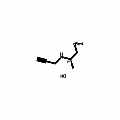 C#CCN[C@H](C)CCCCCC.Cl